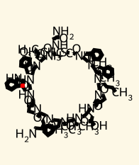 CCCC[C@H]1C(=O)N2CCC[C@@H]2C(=O)N[C@@H](CC(=O)O)CN[C@@H](C(C)C)C(=O)N(C)C(Cc2ccccc2)C(=O)N[C@@H](CCCCN)C(=O)N2CCC[C@@H]2C(=O)N[C@@H](Cc2c[nH]c3ccccc23)C(=O)N[C@@H](Cc2ccc(O)cc2)C(=O)N[C@@H](CC(C)C)C(=O)N[C@H](C(=O)NCC(N)=O)CSCC(=O)N[C@@H](Cc2ccccc2)C(=O)N(C)[C@@H](Cc2ccccc2)C(=O)N1C